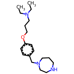 CCN(CC)CCCOc1ccc(CN2CCCNCC2)cc1